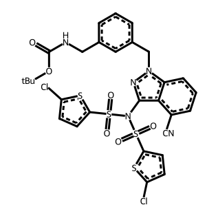 CC(C)(C)OC(=O)NCc1cccc(Cn2nc(N(S(=O)(=O)c3ccc(Cl)s3)S(=O)(=O)c3ccc(Cl)s3)c3c(C#N)cccc32)c1